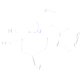 CCCC(C)C[N+]1(Cc2ccccc2)CCC(C)CC(C)(C)C1